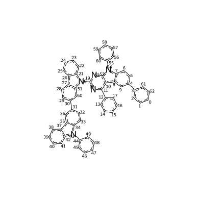 c1ccc(-c2ccc3c(c2)c2c(-c4ccccc4)nc(-n4c5ccccc5c5ccc(-c6ccc7c(c6)c6ccccc6n7-c6ccccc6)cc54)nc2n3-c2ccccc2)cc1